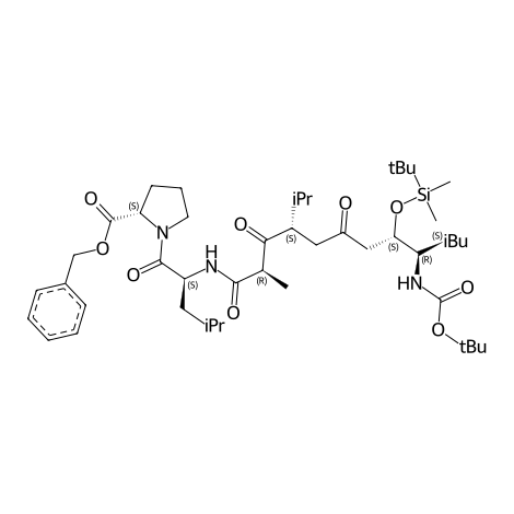 CC[C@H](C)[C@@H](NC(=O)OC(C)(C)C)[C@H](CC(=O)C[C@H](C(=O)[C@@H](C)C(=O)N[C@@H](CC(C)C)C(=O)N1CCC[C@H]1C(=O)OCc1ccccc1)C(C)C)O[Si](C)(C)C(C)(C)C